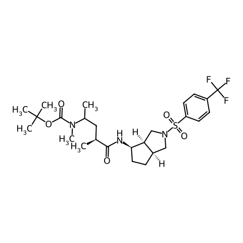 CC(C[C@H](C)C(=O)N[C@@H]1CC[C@@H]2CN(S(=O)(=O)c3ccc(C(F)(F)F)cc3)C[C@@H]21)N(C)C(=O)OC(C)(C)C